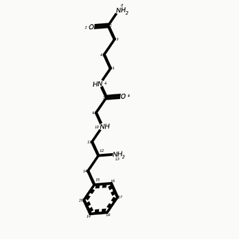 NC(=O)CCCNC(=O)CNCC(N)Cc1ccccc1